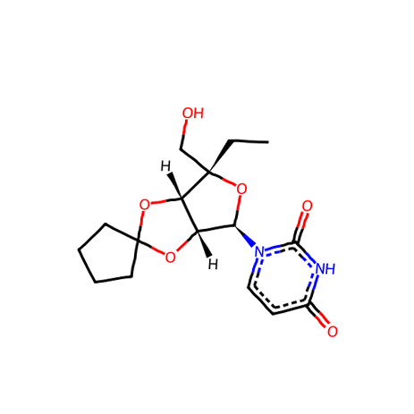 CC[C@@]1(CO)O[C@@H](n2ccc(=O)[nH]c2=O)[C@@H]2OC3(CCCC3)O[C@@H]21